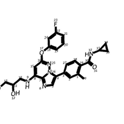 Cc1cc(-c2cnc3c(NCC(O)CO)cc(Oc4cccc(F)c4)nn23)ccc1C(=O)NC1CC1